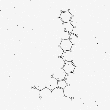 O=C(O)COc1c(CO)sc(-c2cccc(NC3CCN(S(=O)(=O)Cc4ccccc4)CC3)c2)c1Cl